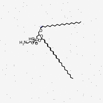 CCCCCCCCCC=CC=CC=CC=CC=CC=CC(=O)OC(CO/C=C\CCCCCCCCCCCCCCCC)COP(=O)(O)OCCN